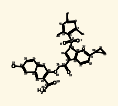 Cc1cc(C)c(S(=O)(=O)n2cc(C(=O)COc3cc4ccc(Cl)cc4cc3C(N)=O)c3ccc(C4CC4)nc32)c(C)c1